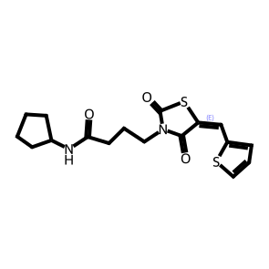 O=C(CCCN1C(=O)S/C(=C/c2cccs2)C1=O)NC1CCCC1